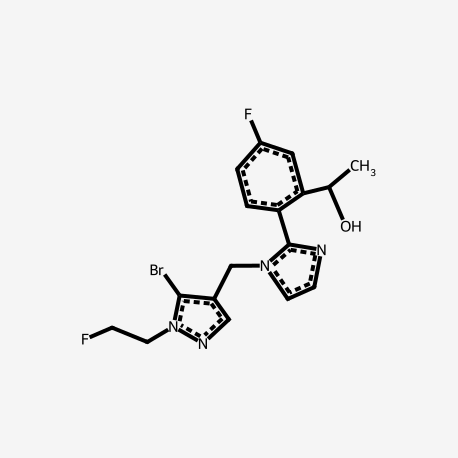 CC(O)c1cc(F)ccc1-c1nccn1Cc1cnn(CCF)c1Br